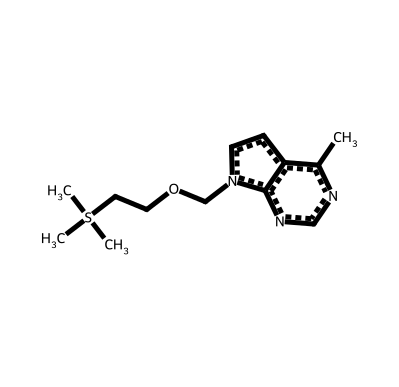 Cc1ncnc2c1ccn2COCCS(C)(C)C